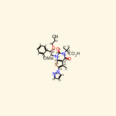 COc1ccccc1[C@H](Cn1c(=O)n(C(C)(C)C(=O)O)c(=O)c2c(C)c(-n3cccn3)sc21)OCCC#N